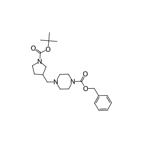 CC(C)(C)OC(=O)N1CCC(CN2CCN(C(=O)OCc3ccccc3)CC2)C1